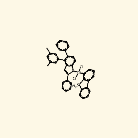 Cc1cc(C)cc(-c2c(-c3ccccc3)ccc3c2C=C(c2ccccc2)[CH]3[Zr]([Cl])([Cl])[c]2cccc3c2[SiH2]c2ccccc2-3)c1